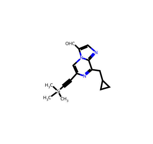 C[Si](C)(C)C#Cc1cn2c(C=O)cnc2c(CC2CC2)n1